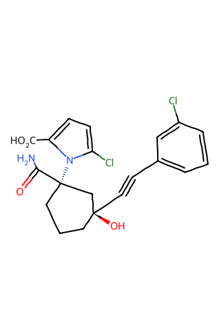 NC(=O)[C@]1(n2c(Cl)ccc2C(=O)O)CCC[C@@](O)(C#Cc2cccc(Cl)c2)C1